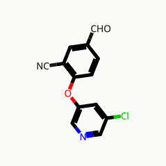 N#Cc1cc(C=O)ccc1Oc1cncc(Cl)c1